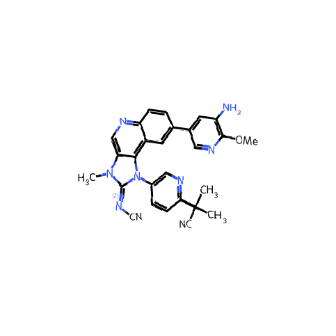 COc1ncc(-c2ccc3ncc4c(c3c2)n(-c2ccc(C(C)(C)C#N)nc2)/c(=N\C#N)n4C)cc1N